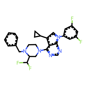 Fc1cc(F)cc(-n2cc(C3CC3)c3c(N4CCN(Cc5ccccc5)C(C(F)F)C4)ncnc32)c1